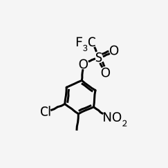 Cc1c(Cl)cc(OS(=O)(=O)C(F)(F)F)cc1[N+](=O)[O-]